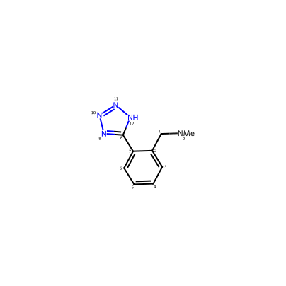 CNCc1ccccc1-c1nnn[nH]1